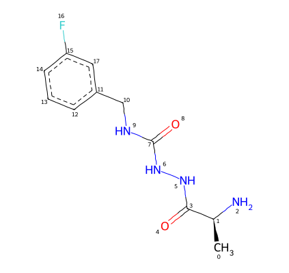 C[C@H](N)C(=O)NNC(=O)NCc1cccc(F)c1